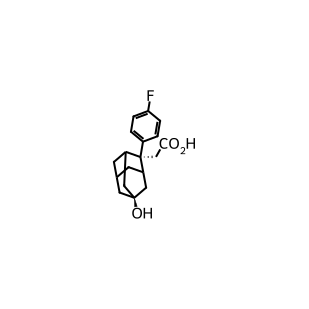 O=C(O)C[C@]1(c2ccc(F)cc2)C2CC3CC1C[C@@](O)(C3)C2